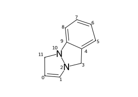 C1=CN2Cc3ccccc3N2C1